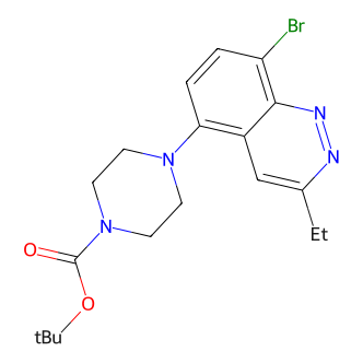 CCc1cc2c(N3CCN(C(=O)OC(C)(C)C)CC3)ccc(Br)c2nn1